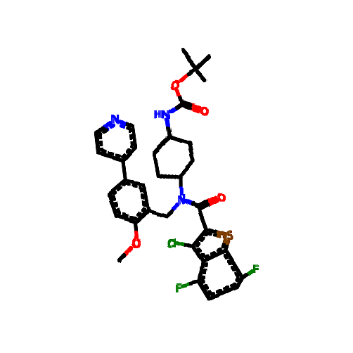 COc1ccc(-c2ccncc2)cc1CN(C(=O)c1sc2c(F)ccc(F)c2c1Cl)C1CCC(NC(=O)OC(C)(C)C)CC1